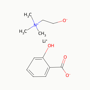 C[N+](C)(C)CC[O-].O=C([O-])c1ccccc1O.[Li+]